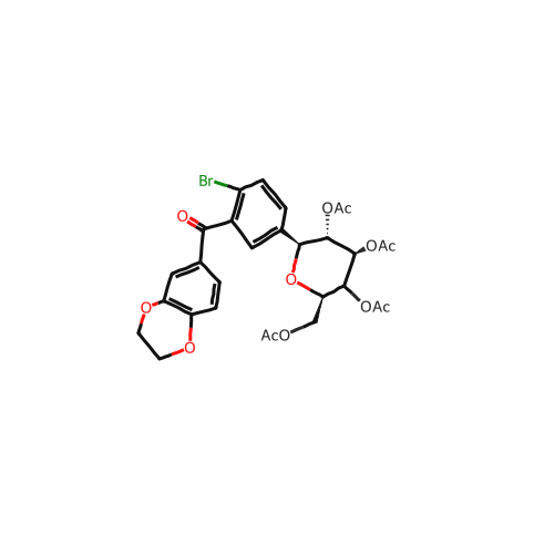 CC(=O)OC[C@H]1O[C@@H](c2ccc(Br)c(C(=O)c3ccc4c(c3)OCCO4)c2)[C@H](OC(C)=O)[C@@H](OC(C)=O)C1OC(C)=O